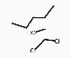 CCCCC.CO.ClCCl